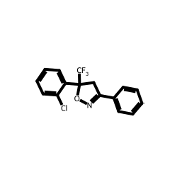 FC(F)(F)C1(c2ccccc2Cl)CC(c2cc[c]cc2)=NO1